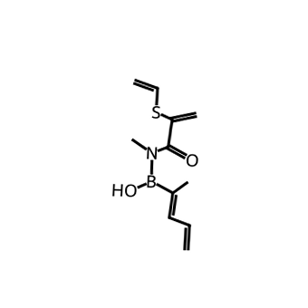 C=C/C=C(\C)B(O)N(C)C(=O)C(=C)SC=C